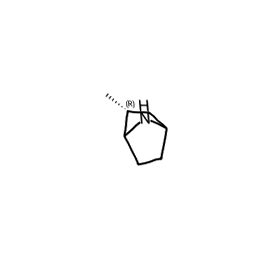 C[C@@H]1CC2CCC1N2